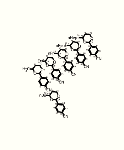 CC1CCOC(c2ccc(C#N)cc2)O1.CCC1CCOC(c2ccc(C#N)cc2)O1.CCCC1CCOC(c2ccc(C#N)cc2)O1.CCCCC1CCOC(c2ccc(C#N)cc2)O1.CCCCCC1CCOC(c2ccc(C#N)cc2)O1.CCCCCCCC1CCOC(c2ccc(C#N)cc2)O1